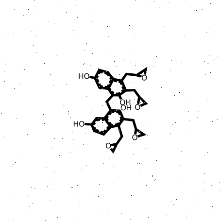 Oc1ccc2c(CC3CO3)c(CC3CO3)c(O)c(Cc3c(O)c(CC4CO4)c(CC4CO4)c4ccc(O)cc34)c2c1